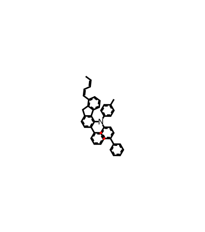 C/C=C\C=C/c1cccc2c1Cc1ccc(-c3ccccc3)c(N(c3ccc(C)cc3)c3ccc(-c4ccccc4)cc3)c1-2